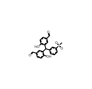 CS(=O)(=O)c1cccc(C(c2cc(C=O)ccc2O)c2cc(C=O)ccc2O)c1